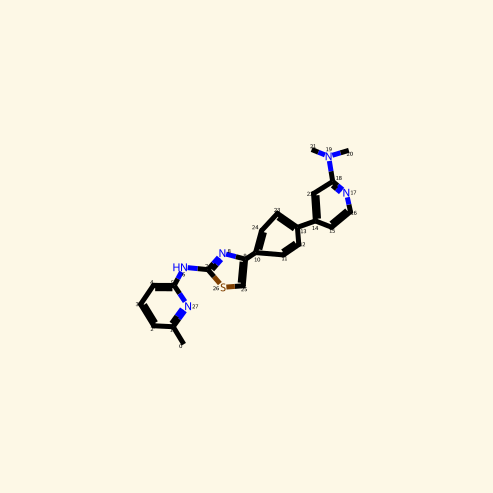 Cc1cccc(Nc2nc(-c3ccc(-c4ccnc(N(C)C)c4)cc3)cs2)n1